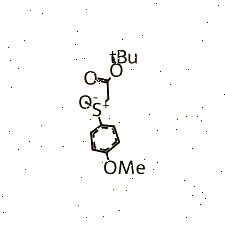 COc1ccc([S@@+]([O-])CC(=O)OC(C)(C)C)cc1